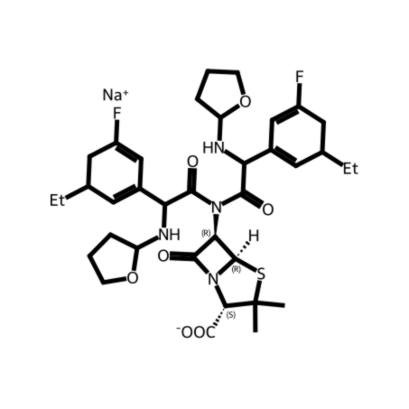 CCC1C=C(C(NC2CCCO2)C(=O)N(C(=O)C(NC2CCCO2)C2=CC(CC)CC(F)=C2)[C@@H]2C(=O)N3[C@@H]2SC(C)(C)[C@@H]3C(=O)[O-])C=C(F)C1.[Na+]